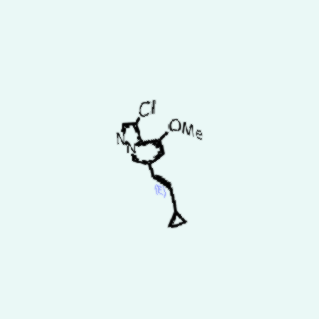 COc1cc(/C=C/C2CC2)cn2ncc(Cl)c12